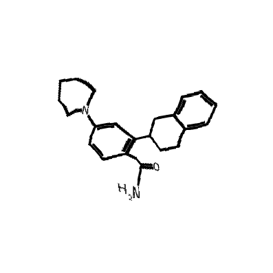 NC(=O)c1ccc(N2CCCCC2)cc1C1CCc2ccccc2C1